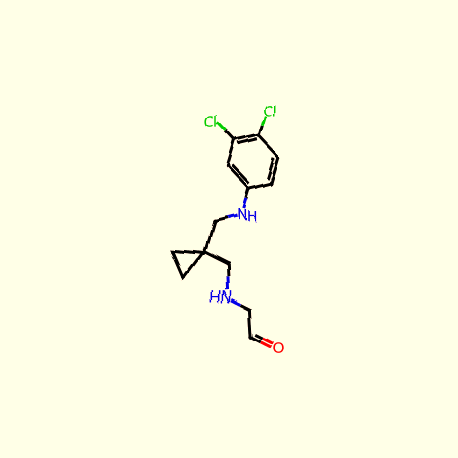 O=CCNCC1(CNc2ccc(Cl)c(Cl)c2)CC1